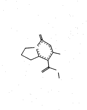 COC(=O)c1c(O)cc(=O)n2c1CCC2